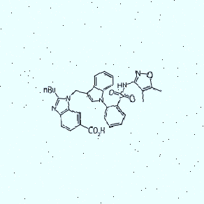 CCCCc1nc2ccc(C(=O)O)cc2n1Cc1cn(-c2ccccc2S(=O)(=O)Nc2noc(C)c2C)c2ccccc12